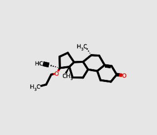 C#C[C@]1(OCCC)CCC2C3C(CC[C@@]21C)C1CCC(=O)C=C1C[C@H]3C